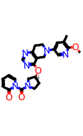 COc1ncc(N2CCc3ncnc(O[C@H]4CCN(C(=O)n5ccccc5=O)C4)c3C2)cc1C